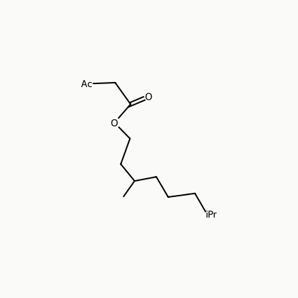 CC(=O)CC(=O)OCCC(C)CCCC(C)C